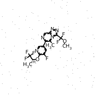 COC(F)(F)c1nnc2cnc(-c3cnc(O[C@H](C)C(F)(F)F)c(F)c3)c(C)n12